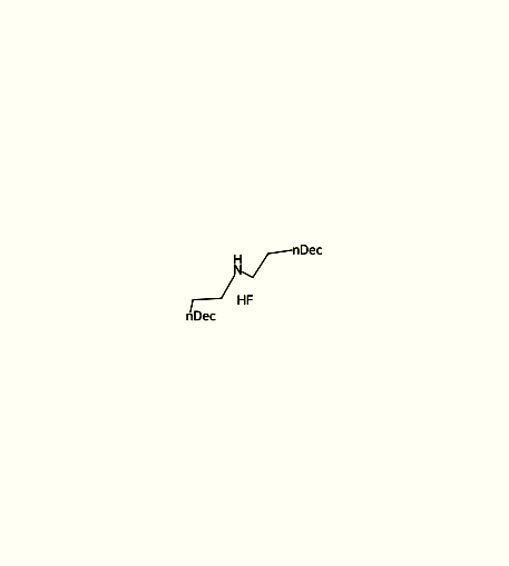 CCCCCCCCCCCCNCCCCCCCCCCCC.F